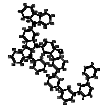 c1ccc(-c2cccc(-c3cccc(-c4cccc(-c5ccc6oc7ccc(-n8c9cc(-n%10c%11ccccc%11c%11ccccc%11%10)ccc9c9c%10ccccc%10n(-c%10ccccc%10)c98)cc7c6c5)c4)c3)c2)cc1